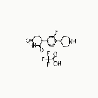 O=C(O)C(F)(F)F.O=C1CCC(c2ccc(C3CCNCC3)c(F)c2)C(=O)N1